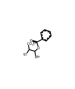 CCCC(OC(=O)c1ccccc1)C(CC)C(=O)OCC